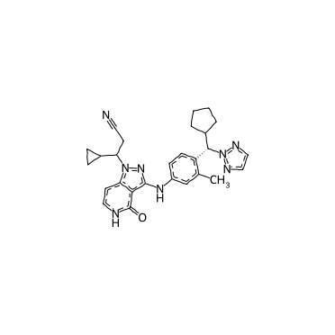 Cc1cc(Nc2nn(C(CC#N)C3CC3)c3cc[nH]c(=O)c23)ccc1[C@H](C1CCCC1)n1nccn1